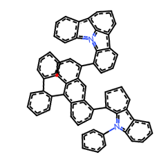 c1ccc(-c2ccccc2-c2c3cccc(-c4cccc5c6ccccc6n(-c6ccccc6)c45)c3cc3c(-c4cccc5c6cccc7c8ccccc8n(c45)c76)cccc23)cc1